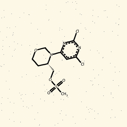 CS(=O)(=O)OC[C@@H]1CCOCN1c1cc(Cl)nc(Cl)n1